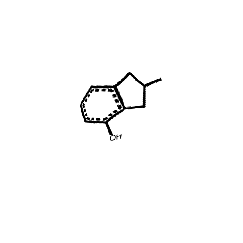 CC1Cc2cccc(O)c2C1